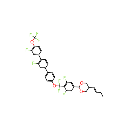 CC/C=C/C1COC(c2cc(F)c(C(F)(F)Oc3ccc(-c4ccc(-c5ccc(OC(F)(F)F)c(F)c5)c(F)c4)cc3)c(F)c2)OC1